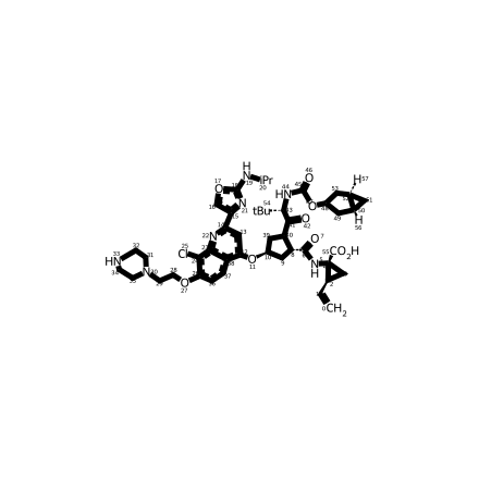 C=C[C@@H]1C[C@]1(NC(=O)[C@@H]1C[C@@H](Oc2cc(-c3coc(NC(C)C)n3)nc3c(Cl)c(OCCN4CCNCC4)ccc23)CC1C(=O)[C@@H](NC(=O)OC1C[C@@H]2C[C@@H]2C1)C(C)(C)C)C(=O)O